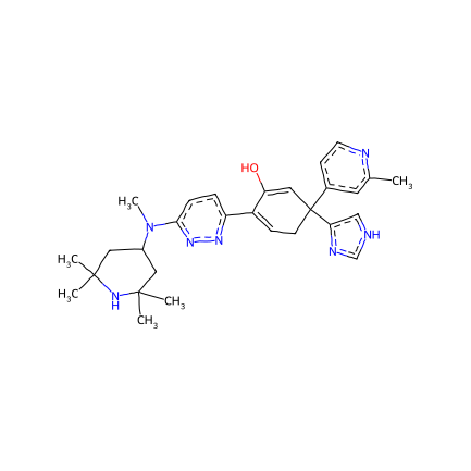 Cc1cc(C2(c3c[nH]cn3)C=C(O)C(c3ccc(N(C)C4CC(C)(C)NC(C)(C)C4)nn3)=CC2)ccn1